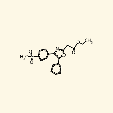 CCOC(=O)Cc1nc(-c2ccc(S(C)(=O)=O)cc2)c(-c2ccccc2)o1